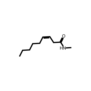 CCCCC/C=C\CC(=O)NC